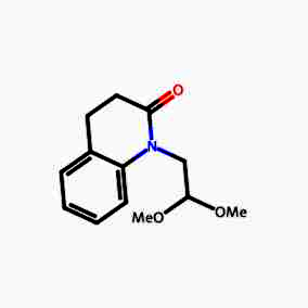 COC(CN1C(=O)CCc2ccccc21)OC